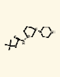 CC(C)(C)OC(=O)N[C@@H]1CCC[C@H](N2CCNCC2)C1